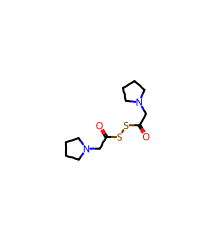 O=C(CN1CCCC1)SSC(=O)CN1CCCC1